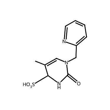 CC1=CN(Cc2ccccn2)C(=O)NC1S(=O)(=O)O